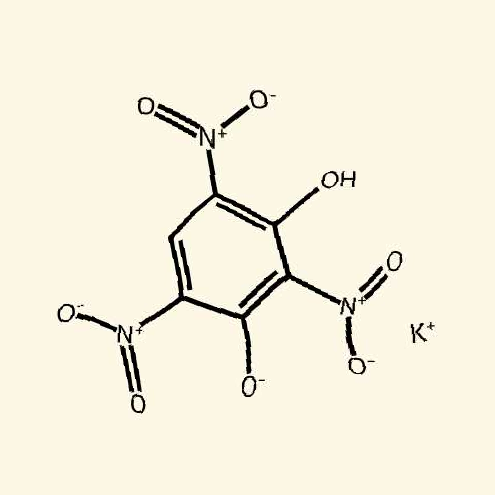 O=[N+]([O-])c1cc([N+](=O)[O-])c(O)c([N+](=O)[O-])c1[O-].[K+]